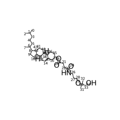 CC(C)CCCC(C)C1CCC2[C@@H]3CC=C4C[C@@H](OC(=O)CCC(=O)NCCCOC(C)(C)CO)CC[C@]4(C)[C@H]3CC[C@]12C